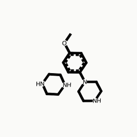 C1CNCCN1.COc1ccc(N2CCNCC2)cc1